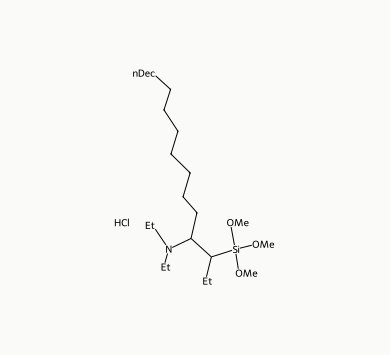 CCCCCCCCCCCCCCCCCC(C(CC)[Si](OC)(OC)OC)N(CC)CC.Cl